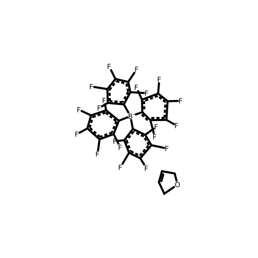 C1=CCOC1.Fc1c(F)c(F)c([B-](c2c(F)c(F)c(F)c(F)c2F)(c2c(F)c(F)c(F)c(F)c2F)c2c(F)c(F)c(F)c(F)c2F)c(F)c1F